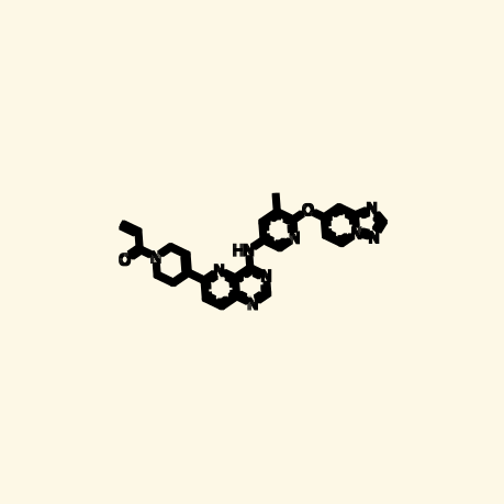 C=CC(=O)N1CC=C(c2ccc3ncnc(Nc4cnc(Oc5ccn6ncnc6c5)c(C)c4)c3n2)CC1